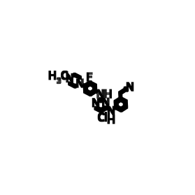 CN1CCN(c2ccc(Nc3ncc(Cl)c(Nc4cccc(CC#N)c4)n3)cc2F)CC1